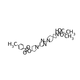 Cc1ccc(S(=O)(=O)OC2CCN(c3cnc(N4CCC5(CC4)CN(C(=O)OC(C)(C)C)C5)nc3)CC2)cc1